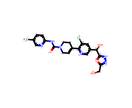 O=C(Nc1ccc(C(F)(F)F)cn1)N1CC=C(c2ncc(C(O)c3nnc(CO)o3)cc2Cl)CC1